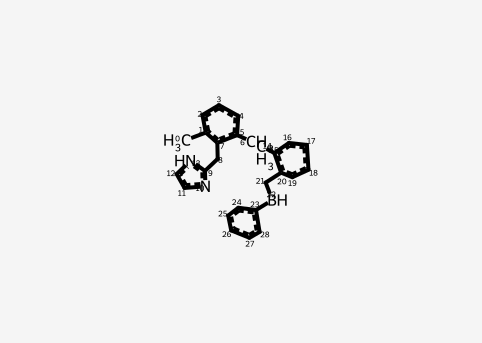 Cc1cccc(C)c1Cc1ncc[nH]1.Cc1ccccc1CBc1ccccc1